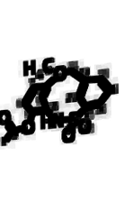 C.CC(=O)Oc1ccc2cc1NS(=O)(=O)c1cccc(c1)CO2